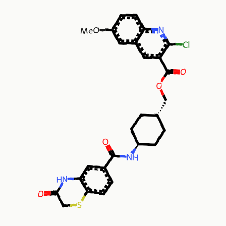 COc1ccc2nc(Cl)c(C(=O)OC[C@H]3CC[C@H](NC(=O)c4ccc5c(c4)NC(=O)CS5)CC3)cc2c1